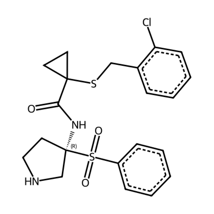 O=C(N[C@@]1(S(=O)(=O)c2ccccc2)CCNC1)C1(SCc2ccccc2Cl)CC1